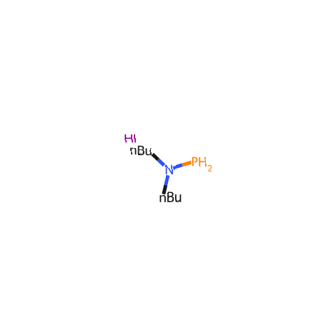 CCCCN(P)CCCC.I